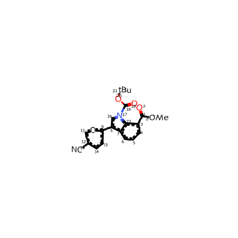 COC(=O)c1cccc2c(-c3ccc(C#N)cc3)cn(C(=O)OC(C)(C)C)c12